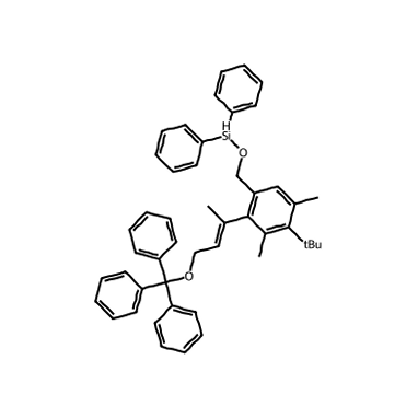 CC(=CCOC(c1ccccc1)(c1ccccc1)c1ccccc1)c1c(CO[SiH](c2ccccc2)c2ccccc2)cc(C)c(C(C)(C)C)c1C